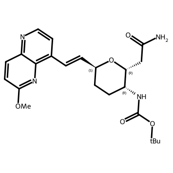 COc1ccc2nccc(C=C[C@@H]3CC[C@@H](NC(=O)OC(C)(C)C)[C@@H](CC(N)=O)O3)c2n1